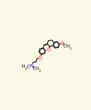 COc1ccc2c(c1)CC/C(=C/c1ccc(OCCCN(C)C)cc1)C2=O